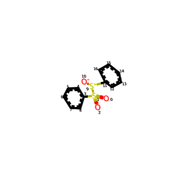 O=S(=O)(c1ccccc1)[S+]([O-])c1ccccc1